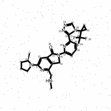 CNCc1nc(N2CCC[C@H]2C)cc2c1CN(c1cccc(-c3nncn3C3(C(F)(F)F)CC3)n1)C2=O